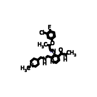 CNC(=O)c1ccnc(CNCC2CCN(C)CC2)c1/N=C/C(C)Oc1ccc(F)c(Cl)c1